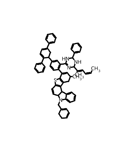 C/C=C\C=C(/C)C1N=C(c2cc(C3CC(c4ccccc4)=CC=C3c3ccccc3)ccc2C2=CC(C)Cc3c2sc2c3C3c4ccccc4N(CC4=CC=CCC4)C3C=C2)NC(c2ccccc2)N1